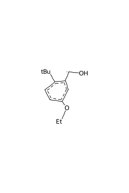 CCOc1ccc(C(C)(C)C)c([CH]O)c1